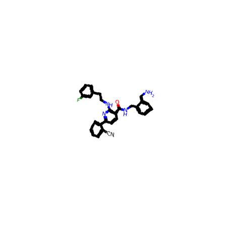 N#Cc1ccccc1-c1ccc(C(=O)NCc2ccccc2CN)c(NCCc2cccc(F)c2)n1